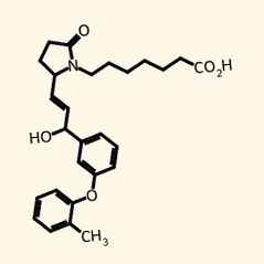 Cc1ccccc1Oc1cccc(C(O)C=CC2CCC(=O)N2CCCCCCC(=O)O)c1